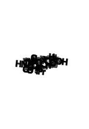 CC(C)C1=C2[C@H]3CC[C@@H]4[C@@]5(C)CC[C@H](O)C(C)(C)[C@@H]5CC[C@@]4(C)[C@]3(C)CC[C@@]2(C(=O)N2CCNC(=O)C2)CC1=O